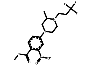 COC(=O)c1ccc(N2CCN(CCC(F)(F)F)C(C)C2)cc1[N+](=O)[O-]